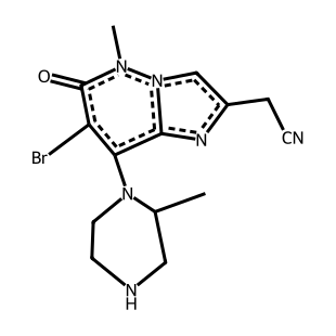 CC1CNCCN1c1c(Br)c(=O)n(C)n2cc(CC#N)nc12